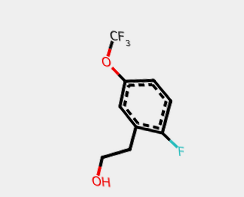 OCCc1cc(OC(F)(F)F)ccc1F